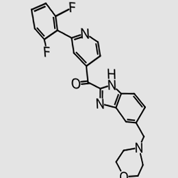 O=C(c1ccnc(-c2c(F)cccc2F)c1)c1nc2cc(CN3CCOCC3)ccc2[nH]1